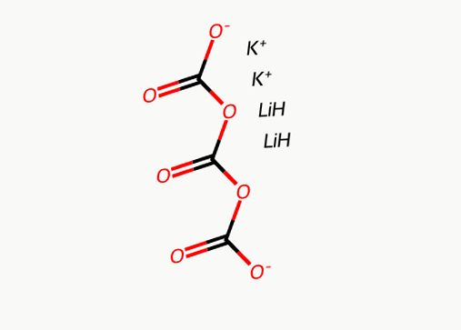 O=C([O-])OC(=O)OC(=O)[O-].[K+].[K+].[LiH].[LiH]